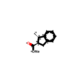 COC(=O)[C@@H]1Cc2ccccc2[C@H]1C